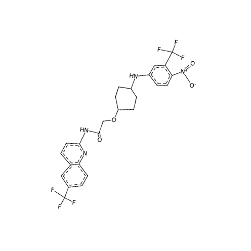 O=C(COC1CCC(Nc2ccc([N+](=O)[O-])c(C(F)(F)F)c2)CC1)Nc1ccc2cc(C(F)(F)F)ccc2n1